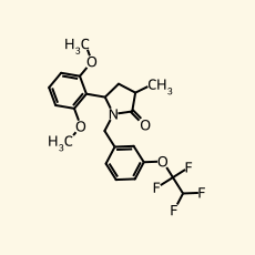 COc1cccc(OC)c1C1CC(C)C(=O)N1Cc1cccc(OC(F)(F)C(F)F)c1